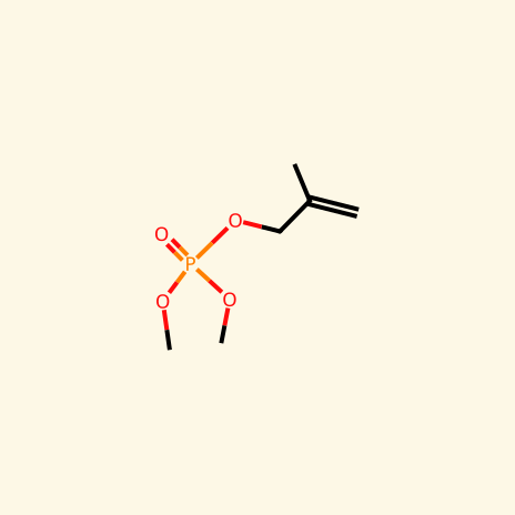 C=C(C)COP(=O)(OC)OC